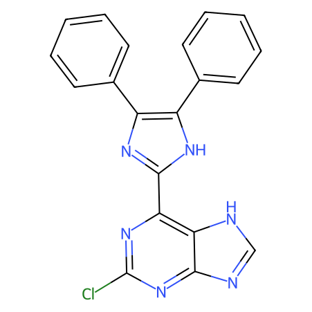 Clc1nc(-c2nc(-c3ccccc3)c(-c3ccccc3)[nH]2)c2[nH]cnc2n1